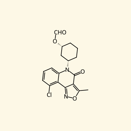 Cc1onc2c1c(=O)n([C@H]1CCC[C@@H](OC=O)C1)c1cccc(Cl)c21